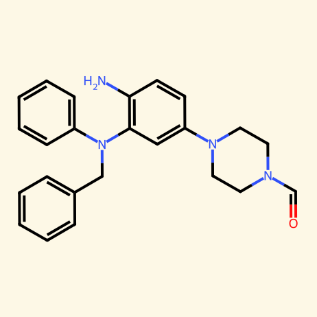 Nc1ccc(N2CCN(C=O)CC2)cc1N(Cc1ccccc1)c1ccccc1